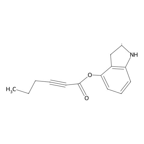 CCCC#CC(=O)Oc1cccc2c1C[CH]N2